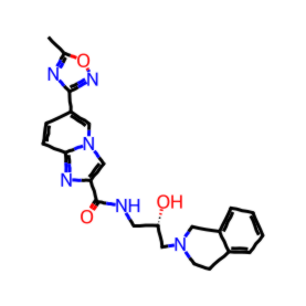 Cc1nc(-c2ccc3nc(C(=O)NC[C@H](O)CN4CCc5ccccc5C4)cn3c2)no1